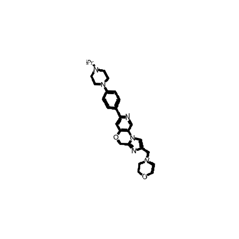 CC(C)N1CCN(c2ccc(-c3cc4c(cn3)-n3cc(CN5CCOCC5)nc3CO4)cc2)CC1